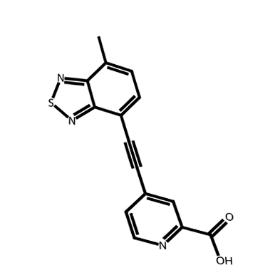 Cc1ccc(C#Cc2ccnc(C(=O)O)c2)c2nsnc12